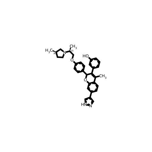 CC1=C(c2cccc(O)c2)C(c2ccc(OC[C@H](C)N3CC[C@@H](C)C3)cc2)Oc2cc(-c3cn[nH]c3)ccc21